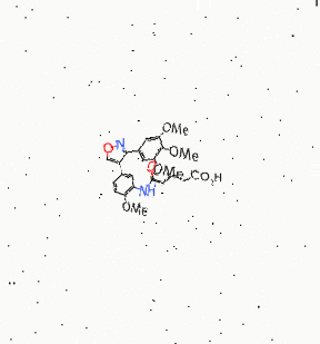 COc1ccc(-c2conc2-c2cc(OC)c(OC)c(OC)c2)cc1NC(=O)CCCC(=O)O